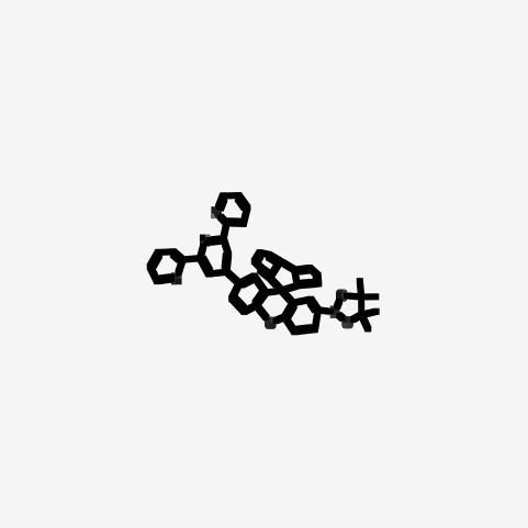 CC1(C)OB(c2ccc3c(c2)C2(c4cc(-c5cc(-c6ccccn6)nc(-c6ccccn6)c5)ccc4O3)c3ccccc3-c3ccccc32)OC1(C)C